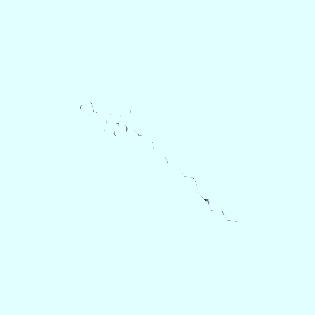 CCCCCCCCCCCCCCCOC(=O)C(=O)OC1CCC1